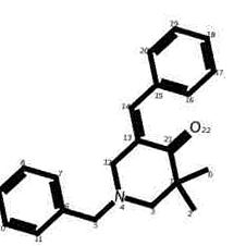 CC1(C)CN(Cc2ccccc2)C/C(=C/c2ccccc2)C1=O